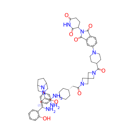 NC(N)=C(/C=C(\N)c1ccccc1O)N1CC2CCC(C1)N2c1cccc(O[C@H]2CC[C@@H](CC(=O)N3CC4(C3)CN(C(=O)C3CCN(c5ccc6c(c5)C(=O)N(C5CCC(=O)NC5=O)C6=O)CC3)C4)CC2)c1